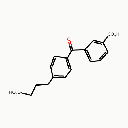 O=C(O)CCCc1ccc(C(=O)c2cccc(C(=O)O)c2)cc1